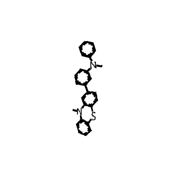 CN(c1ccccc1)c1cccc(-c2ccc3c(c2)N(C)c2ccccc2S3)c1